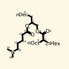 CCCCCCCCCCCC(COC(=O)C(CCCCCC)CCCCCCCC)OC(=O)CCCCN(C)C